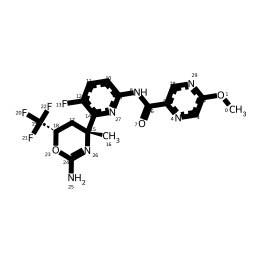 COc1cnc(C(=O)Nc2ccc(F)c([C@@]3(C)C[C@@H](C(F)(F)F)OC(N)=N3)n2)cn1